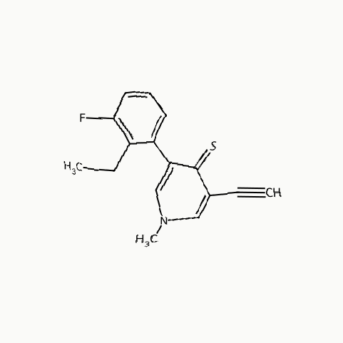 C#Cc1cn(C)cc(-c2cccc(F)c2CC)c1=S